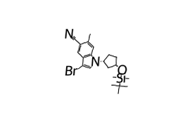 Cc1cc2c(cc1C#N)c(Br)cn2[C@@H]1CC[C@@H](O[Si](C)(C)C(C)(C)C)C1